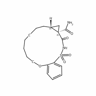 NC(=O)[C@@]12C[C@H]1CCCCCCCOc1ccccc1S(=O)(=O)NC2=O